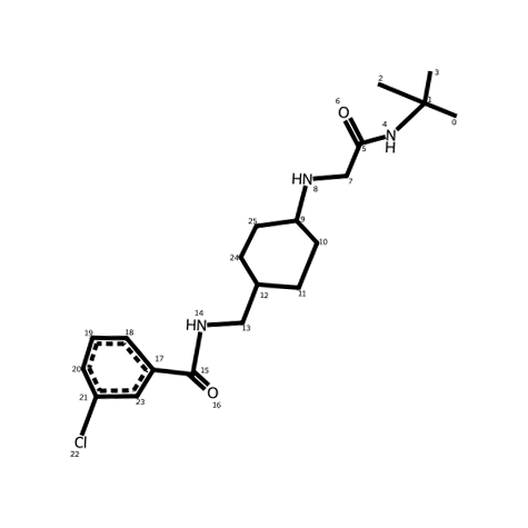 CC(C)(C)NC(=O)CNC1CCC(CNC(=O)c2cccc(Cl)c2)CC1